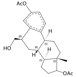 CC(=O)Oc1ccc2c(c1)[C@H](CO)C[C@@H]1[C@@H]2CC[C@]2(C)C(OC(C)=O)CC[C@@H]12